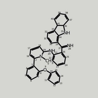 CN1C(c2ccccc2Oc2ccccc2)=CC=CC1Nc1ccccc1C(=N)c1cccc2c1NC1C=CC=CC21